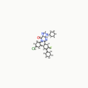 O=c1c2ncn(-c3ccccc3)c2nc(-c2ccc(-c3ccccc3)c(F)c2)n1-c1ccc(Cl)cc1